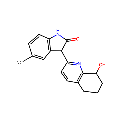 N#Cc1ccc2c(c1)C(c1ccc3c(n1)C(O)CCC3)C(=O)N2